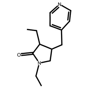 CCC1C(=O)N(CC)CC1Cc1ccncc1